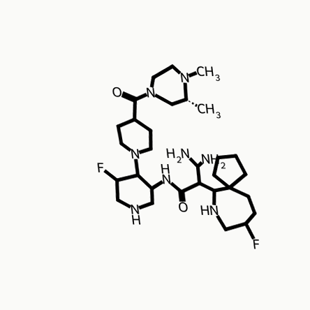 C[C@@H]1CN(C(=O)C2CCN(C3C(F)CNCC3NC(=O)C(C(N)N)C3NCC(F)CCC34CCCC4)CC2)CCN1C